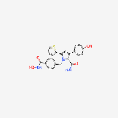 NC(=O)c1c(-c2ccc(O)cc2)cc(-c2cccs2)n1Cc1ccc(C(=O)NO)cc1